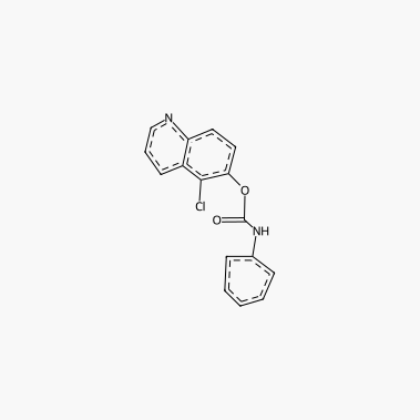 O=C(Nc1ccccc1)Oc1ccc2ncccc2c1Cl